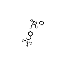 O=C1NC(=O)C(Cc2ccc(OCCN3C(=O)SC(c4ccccc4)C3=O)cc2)S1